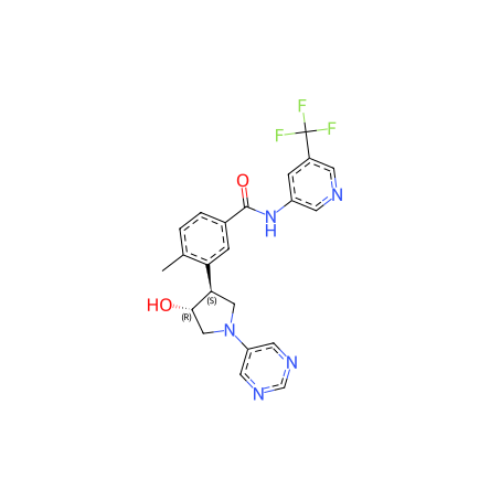 Cc1ccc(C(=O)Nc2cncc(C(F)(F)F)c2)cc1[C@H]1CN(c2cncnc2)C[C@@H]1O